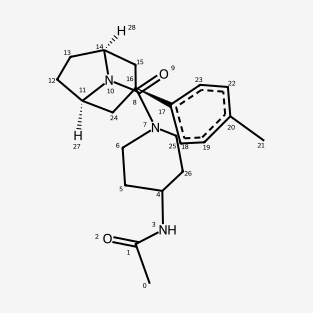 CC(=O)NC1CCN(C(=O)N2[C@@H]3CC[C@H]2C[C@@H](c2ccc(C)cc2)C3)CC1